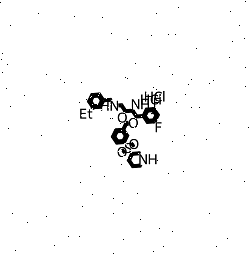 CCc1cccc(CNCC(OC(=O)c2cccc(S(=O)(=O)C3CCCNC3)c2)C(N)Cc2cc(F)cc(F)c2)c1.Cl.Cl